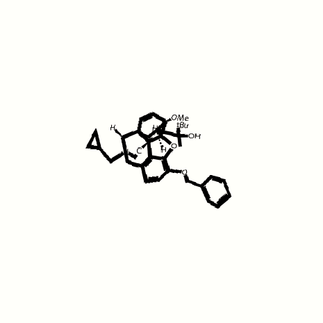 CO[C@]12C=C[C@@]3(C[C@@H]1C(C)(O)C(C)(C)C)[C@H]1Cc4ccc(OCc5ccccc5)c5c4[C@@]3(CCN1CC1CC1)[C@H]2O5